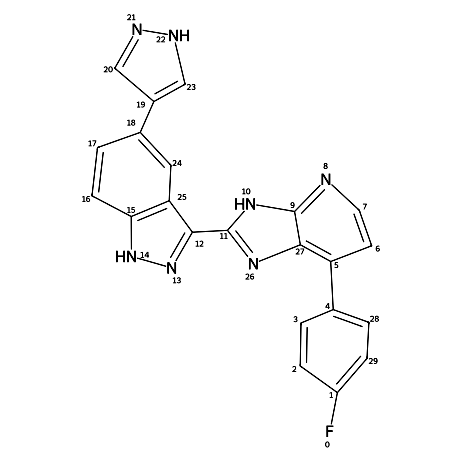 Fc1ccc(-c2ccnc3[nH]c(-c4n[nH]c5ccc(-c6cn[nH]c6)cc45)nc23)cc1